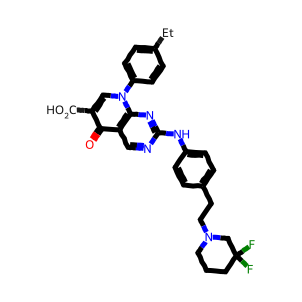 CCc1ccc(-n2cc(C(=O)O)c(=O)c3cnc(Nc4ccc(CCN5CCCC(F)(F)C5)cc4)nc32)cc1